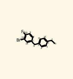 CCc1ccc(Cc2ccc(F)c(Br)c2)cc1